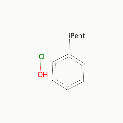 CCCC(C)c1ccccc1.OCl